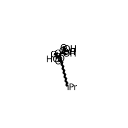 CC(C)CCCCCCCCCCCCC(=O)OC1=C(O)C(=O)O[C@@H]1[C@H](CO)OP(=O)(O)O